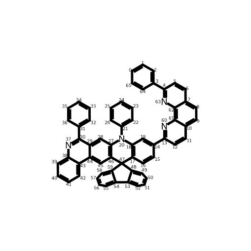 c1ccc(-c2ccc3ccc4ccc(-c5ccc6c(c5)N(c5ccccc5)c5cc7c(-c8ccccc8)nc8ccccc8c7cc5C65c6ccccc6-c6ccccc65)nc4c3n2)cc1